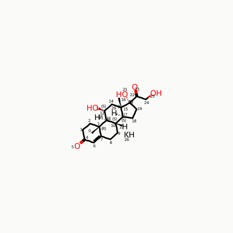 C[C@]12CCC(=O)C=C1CC[C@@H]1[C@@H]2[C@@H](O)C[C@@]2(C)[C@H]1CC[C@]2(O)C(=O)CO.[KH]